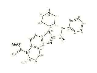 COC(=O)N1c2ccc3c(nc([C@H](C)Cc4ccccc4)n3C3CCNCC3)c2CC[C@@H]1C